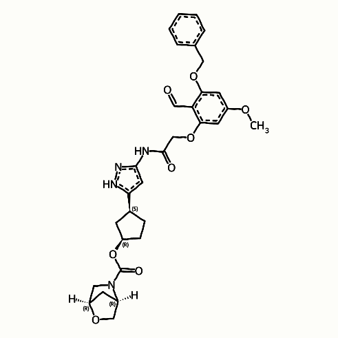 COc1cc(OCC(=O)Nc2cc([C@H]3CC[C@@H](OC(=O)N4C[C@H]5C[C@@H]4CO5)C3)[nH]n2)c(C=O)c(OCc2ccccc2)c1